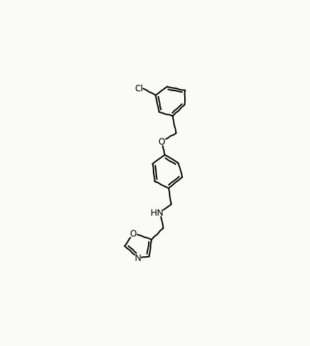 Clc1cccc(COc2ccc(CNCc3cnco3)cc2)c1